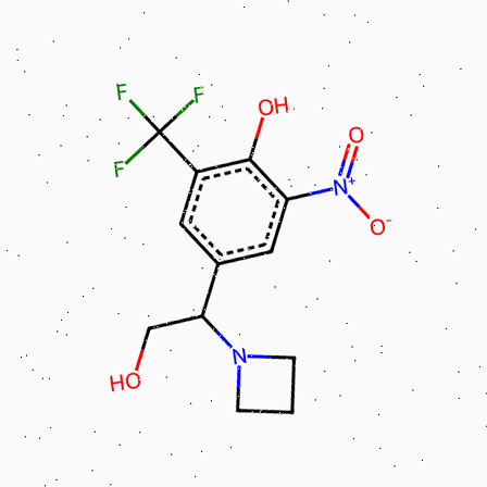 O=[N+]([O-])c1cc(C(CO)N2CCC2)cc(C(F)(F)F)c1O